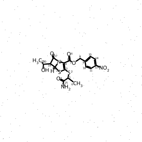 CC(SC1=C(C(=O)OCc2ccc([N+](=O)[O-])cc2)N2C(=O)C(C(C)O)[C@H]2S1)C(N)=O